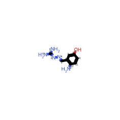 NC(N)=NN=Cc1cc(O)ccc1N